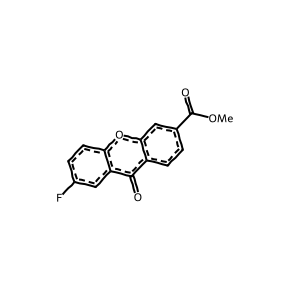 COC(=O)c1ccc2c(=O)c3cc(F)ccc3oc2c1